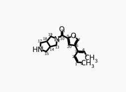 C/C=C\C(=C/C)c1coc(C(=O)N2CC3CNCC3C2)c1